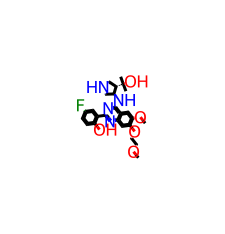 COCCOc1cc2nc(-c3cc(F)ccc3O)nc(N[C@@H]3CNC[C@@H]3C(C)(C)O)c2cc1OC